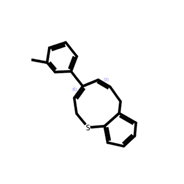 Cc1cccc(C2=C/CSc3ccccc3C/C=C\2)c1